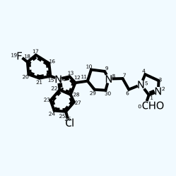 O=CC1=NCCN1CCN1CCC(c2cn(-c3ccc(F)cc3)c3ccc(Cl)cc23)CC1